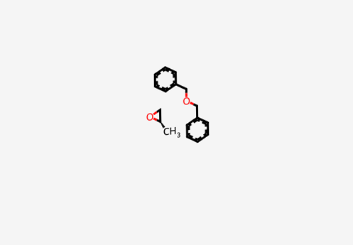 C[C@@H]1CO1.c1ccc(COCc2ccccc2)cc1